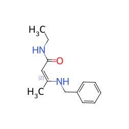 CCNC(=O)/C=C(/C)NCc1ccccc1